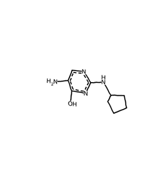 Nc1cnc(NC2CCCC2)nc1O